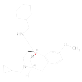 COc1ccc2c(c1)[C@]13CCN(CC4CC4)[C@H](C2)C1OCC(NCC1CCCCC1)C3